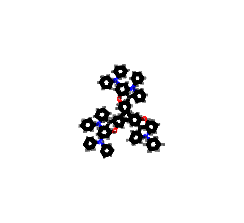 c1ccc(N(c2ccccc2)c2cc3c4c(c2)N(c2ccccc2)c2ccccc2B4c2cc4c(cc2O3)c2cc3c(cc2c2cc5c(cc42)Oc2cc(N(c4ccccc4)c4ccccc4)cc4c2B5c2ccccc2N4c2ccccc2)Oc2cccc4c2B3c2ccccc2N4c2ccccc2)cc1